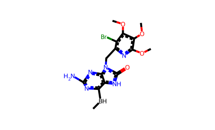 CBc1nc(N)nc2c1[nH]c(=O)n2Cc1nc(OC)c(OC)c(OC)c1Br